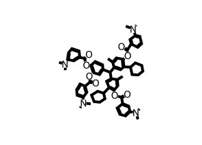 Cc1cc(OC(=O)c2cccc(N(C)C)c2)c(C2CCCCC2)cc1C(c1ccc(OC(=O)c2cccc(N(C)C)c2)c(OC(=O)c2cccc(N(C)C)c2)c1)c1cc(C2CCCCC2)c(OC(=O)c2cccc(N(C)C)c2)cc1C